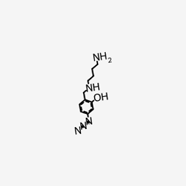 [N-]=[N+]=Nc1ccc(CNCCCCN)c(O)c1